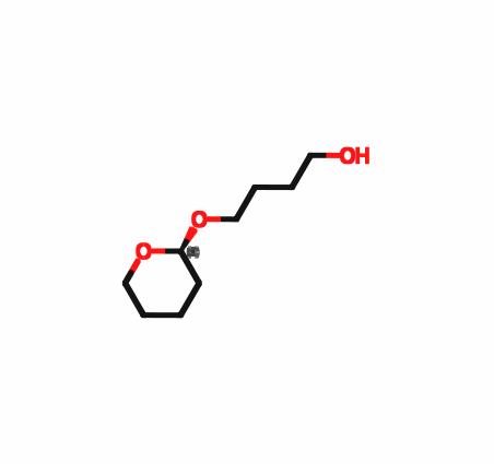 OCCCCO[C@H]1CCCCO1